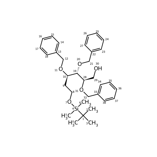 CC(C)(C)[Si](C)(C)OCC[C@@H](OCc1ccccc1)[C@H](OCc1ccccc1)[C@@H](CO)OCc1ccccc1